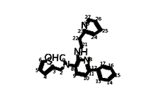 O=CN(Cc1cccs1)c1ccc(-c2ccccc2)nc1NCCc1ccccn1